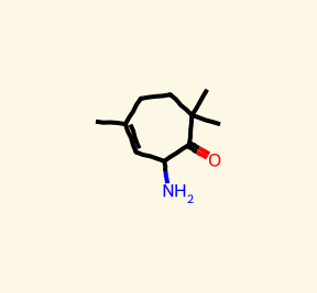 CC1=CC(N)C(=O)C(C)(C)CC1